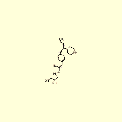 C=C/C=C(\C=C1\C=CC(/C=C(\C#N)SNCC(CN=O)N=O)=CC1)N1CCNCC1